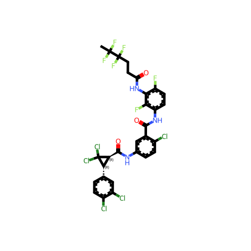 CC(F)(F)C(F)(F)CCC(=O)Nc1c(F)ccc(NC(=O)c2cc(NC(=O)[C@H]3[C@H](c4ccc(Cl)c(Cl)c4)C3(Cl)Cl)ccc2Cl)c1F